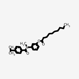 CCCCCCCCCC(=O)Oc1cccc(N(C)C(=O)c2ccc(C(C)C)cc2)c1